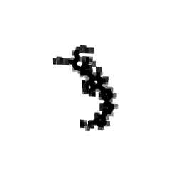 CCCCCCCCCCCCC(CCCCCCCCCC)Cc1cc(-c2c(F)c(F)c(-c3ccc(-c4ccc(-c5ccc(C)s5)s4)s3)c3nsnc23)sc1C